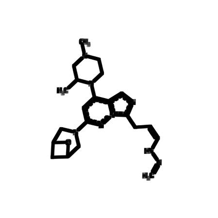 C=NN/C=C\Cc1ncc2c(N3CCN(C)CC3C)cc(N3CC4CC(C3)O4)nn12